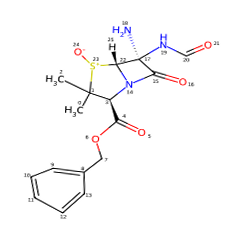 CC1(C)[C@H](C(=O)OCc2ccccc2)N2C(=O)[C@](N)(NC=O)[C@H]2[S+]1[O-]